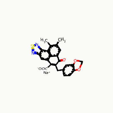 Cc1ccc(C(=O)/C(Cc2ccc3c(c2)OCO3)=C(/C(=O)[O-])c2ccc3nsnc3c2)cc1C.[Na+]